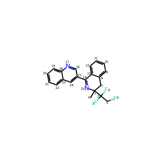 CC1(C(F)(F)CF)Cc2ccccc2C(c2cnc3ccccc3c2)=N1